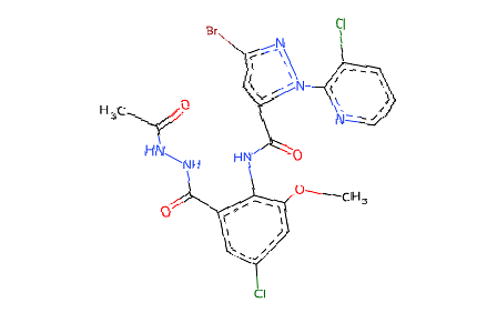 COc1cc(Cl)cc(C(=O)NNC(C)=O)c1NC(=O)c1cc(Br)nn1-c1ncccc1Cl